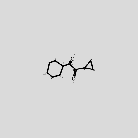 O=C(C(=O)C1CC1)C1CCCCC1